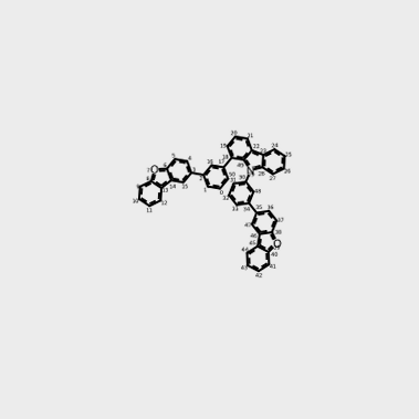 c1cc(-c2ccc3oc4ccccc4c3c2)cc(-c2cccc3c4ccccc4n(-c4cccc(-c5ccc6oc7ccccc7c6c5)c4)c23)c1